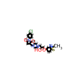 Cc1nc2cc(OC[C@H](O)CN3CCN(CC4CC(=O)N(c5ccc(Cl)cc5)C4=O)CC3)ccc2s1